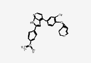 C[S+]([O-])c1ccc(-c2cc3c(-c4ccc(OC5CCOCC5)c(C#N)c4)ccnc3[nH]2)cc1